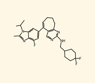 Cc1nc2c(F)cc(C3=CCCCc4nc(NCC5CCC(F)(F)CC5)ncc43)cc2n1C(C)C